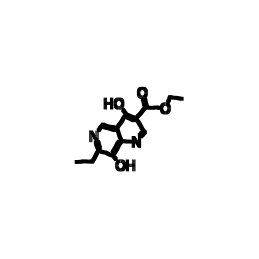 CCOC(=O)c1cnc2c(O)c(CC)ncc2c1O